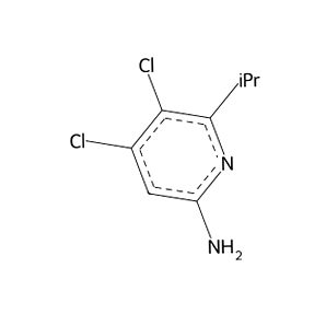 CC(C)c1nc(N)cc(Cl)c1Cl